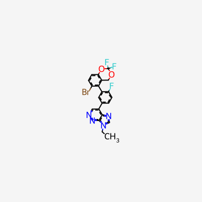 CCn1cnc2c(-c3ccc(F)c(-c4c(Br)ccc5c4COC(F)(F)O5)c3)cnnc21